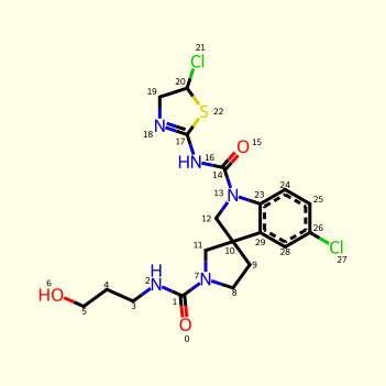 O=C(NCCCO)N1CCC2(C1)CN(C(=O)NC1=NCC(Cl)S1)c1ccc(Cl)cc12